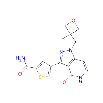 CC1(Cn2nc(-c3csc(C(N)=O)c3)c3c(=O)[nH]ccc32)COC1